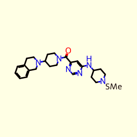 CSN1CCC(Nc2cc(C(=O)N3CCC(N4CCc5ccccc5C4)CC3)ncn2)CC1